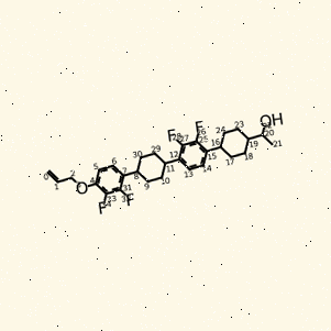 C=CCOc1ccc(C2CCC(c3ccc(C4CCC(C(C)O)CC4)c(F)c3F)CC2)c(F)c1F